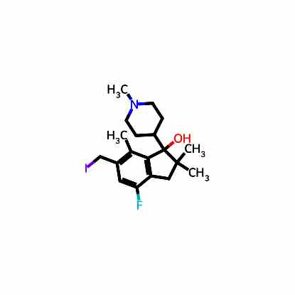 Cc1c(CI)cc(F)c2c1C(O)(C1CCN(C)CC1)C(C)(C)C2